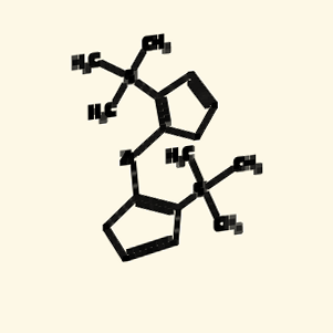 C[Si](C)(C)C1=[C]([Zr][C]2=C([Si](C)(C)C)C=CC2)CC=C1